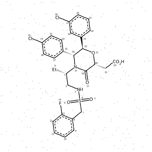 CC[C@@H](CNS(=O)(=O)Cc1ccccc1F)N1C(=O)[C@@H](CC(=O)O)O[C@H](c2cccc(Cl)c2)[C@H]1c1ccc(Cl)cc1